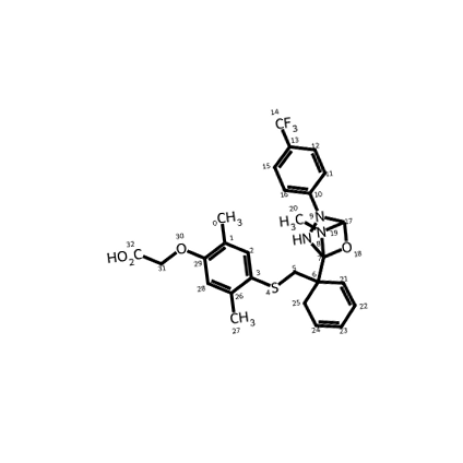 Cc1cc(SCC2(C34NN(c5ccc(C(F)(F)F)cc5)C(O3)N4C)C=CC=CC2)c(C)cc1OCC(=O)O